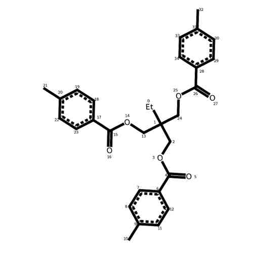 CCC(COC(=O)c1ccc(C)cc1)(COC(=O)c1ccc(C)cc1)COC(=O)c1ccc(C)cc1